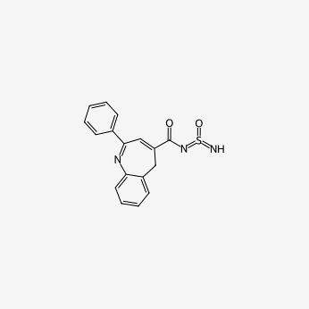 N=S(=O)=NC(=O)C1=CC(c2ccccc2)=Nc2ccccc2C1